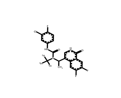 [2H]C([2H])([2H])N(C(=O)Nc1ccc(F)c(Cl)c1)C(C)c1c[nH]c(=O)c2cc(F)c(F)cc12